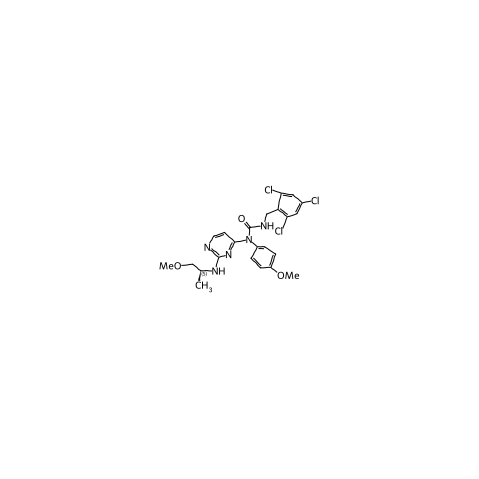 COC[C@H](C)Nc1nccc(N(C(=O)NCc2c(Cl)cc(Cl)cc2Cl)c2ccc(OC)cc2)n1